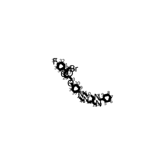 Cc1nc(-c2ccccc2)ncc1CN1CCN(c2ccc(OCC3COC(CBr)(c4ccc(F)cc4)O3)cc2)CC1